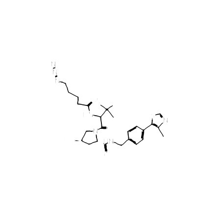 Cc1ncsc1-c1ccc(CNC(=O)[C@@H]2C[C@@H](O)CN2C(=O)C(NC(=O)CCCCN=[N+]=[N-])C(C)(C)C)cc1